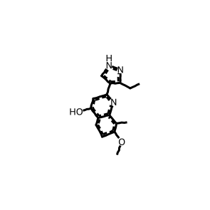 CCc1n[nH]cc1-c1cc(O)c2ccc(OC)c(C)c2n1